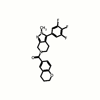 Cn1nc2c(c1-c1cc(F)c(F)c(F)c1)CCN(C(=O)c1ccc3c(c1)CCCO3)C2